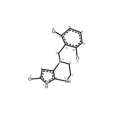 Clc1cc2c([nH]1)NCCN2Cc1c(Cl)cccc1Cl